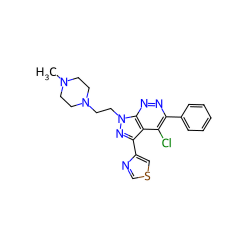 CN1CCN(CCn2nc(-c3cscn3)c3c(Cl)c(-c4ccccc4)nnc32)CC1